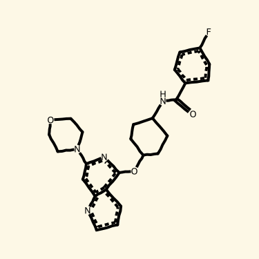 O=C(NC1CCC(Oc2nc(N3CCOCC3)cc3ncccc23)CC1)c1ccc(F)cc1